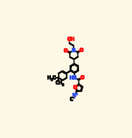 [C-]#[N+]c1ccc(C(=O)Nc2ccc(C3CC(=O)N(CCO)C(=O)C3)cc2C2=CCC(C)(C)CC2)o1